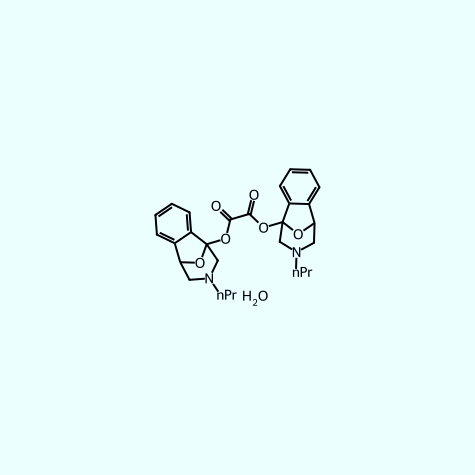 CCCN1CC2OC(OC(=O)C(=O)OC34CN(CCC)CC(O3)c3ccccc34)(C1)c1ccccc12.O